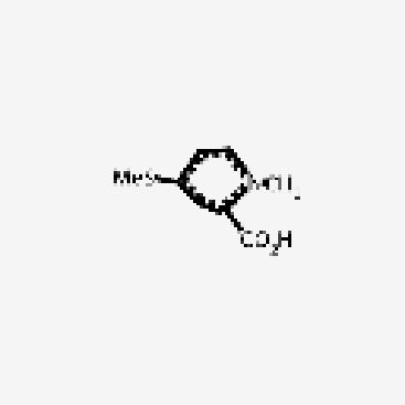 CSc1cc[n+](C)c(C(=O)O)c1